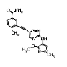 COc1nn(C)cc1Nc1ncc(C#Cc2cc(C(N)=O)ccc2C)cn1